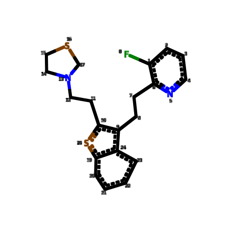 Fc1cccnc1CCc1c(CCN2CCSC2)sc2ccccc12